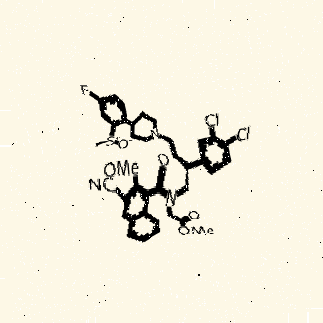 COC(=O)CN(C[C@@H](CCN1CCC(c2ccc(F)cc2[S@+](C)[O-])CC1)c1ccc(Cl)c(Cl)c1)C(=O)c1c(OC)c(C#N)cc2ccccc12